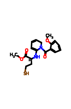 COC(=O)[C@H](CCS)NC1=CC=CCN1C(=O)c1ccccc1OC